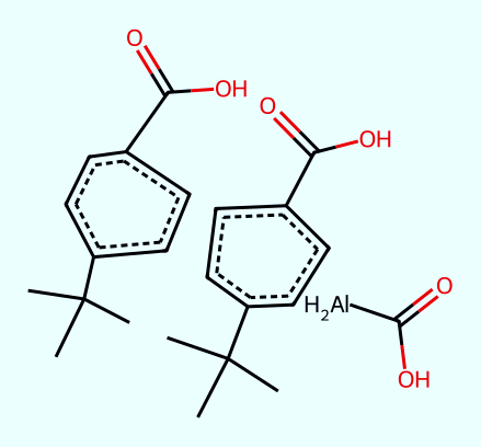 CC(C)(C)c1ccc(C(=O)O)cc1.CC(C)(C)c1ccc(C(=O)O)cc1.O=[C](O)[AlH2]